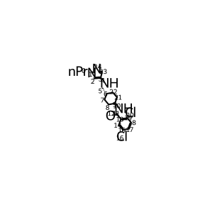 CCCn1cc(NC[C@H]2CC[C@H](NC(=O)c3cc(Cl)ccc3Cl)CC2)cn1